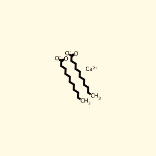 CCCCCCCCCCC(=O)[O-].CCCCCCCCCCC(=O)[O-].[Ca+2]